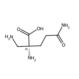 NC[C@](N)(CCC(N)=O)C(=O)O